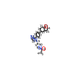 O=C(C1CC1)N1CC[C@H](Cn2ccnc2-c2ccc(-c3ccc4occc4c3)cc2)C1